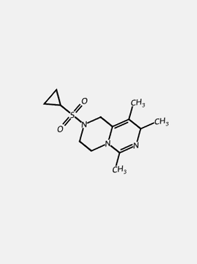 CC1=NC(C)C(C)=C2CN(S(=O)(=O)C3CC3)CCN12